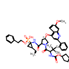 C=CC1C[C@]1(NC(=O)C1C[C@@H](Oc2cc(-c3ccccc3)nc3cc(OC)ccc23)CN1C(=O)C(NC(=O)OC1CCCC1)C(C)(C)C)P(=O)(O)OCCc1ccccc1